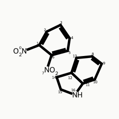 O=[N+]([O-])c1ccccc1[N+](=O)[O-].c1ccc2c(c1)CCN2